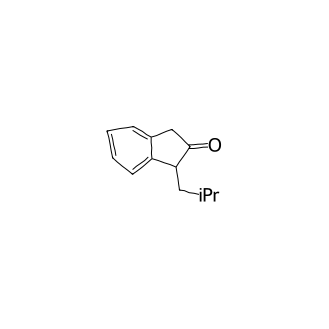 CC(C)CC1C(=O)Cc2ccccc21